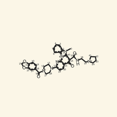 Cn1c2ccccc2n2c3nc(N4CCN(C(=O)c5ccc6c(c5)OCO6)CC4)ccc3c(=O)c(C(=O)NCCN3CCCC3)c12